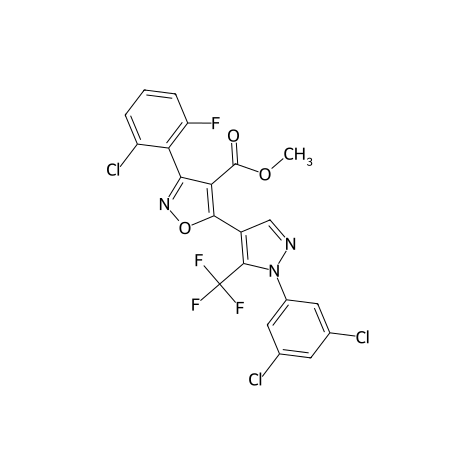 COC(=O)c1c(-c2c(F)cccc2Cl)noc1-c1cnn(-c2cc(Cl)cc(Cl)c2)c1C(F)(F)F